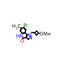 COC1CC(Cn2ncc3c(=O)[nH]c4cc(C)c(Br)cc4c32)C1